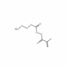 C=C(C)C(=O)OOC(=O)OOOC(C)(C)C